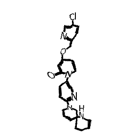 O=c1cc(OCc2ccc(Cl)cn2)ccn1-c1ccc(N2CCCC3(CCCCN3)C2)nc1